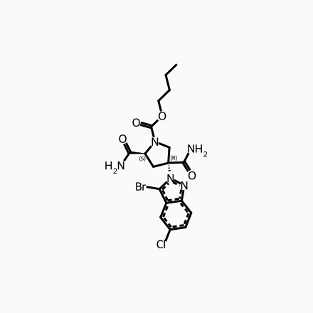 CCCCOC(=O)N1C[C@](C(N)=O)(n2nc3ccc(Cl)cc3c2Br)C[C@H]1C(N)=O